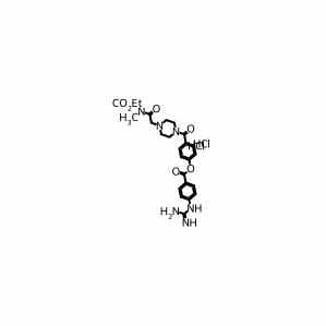 CCOC(=O)N(C)C(=O)CN1CCN(C(=O)c2ccc(OC(=O)c3ccc(NC(=N)N)cc3)cc2)CC1.Cl.Cl